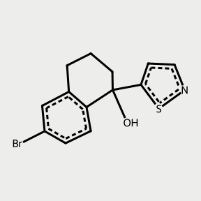 OC1(c2ccns2)CCCc2cc(Br)ccc21